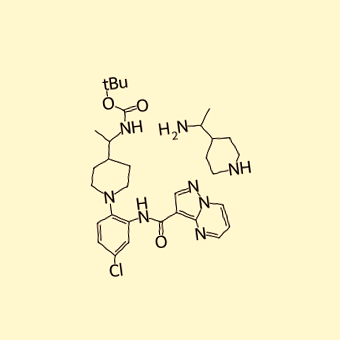 CC(N)C1CCNCC1.CC(NC(=O)OC(C)(C)C)C1CCN(c2ccc(Cl)cc2NC(=O)c2cnn3cccnc23)CC1